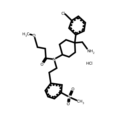 COCCC(=O)N(CCc1cccc(S(C)(=O)=O)c1)C1CCC(CN)(c2cccc(Cl)c2)CC1.Cl